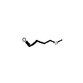 COCCCC=O